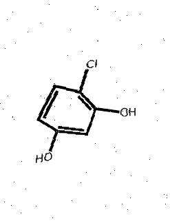 Oc1c[c]c(Cl)c(O)c1